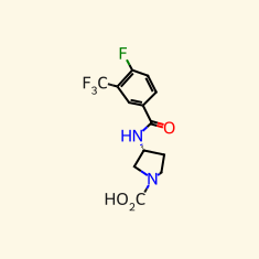 O=C(N[C@@H]1CCN(C(=O)O)C1)c1ccc(F)c(C(F)(F)F)c1